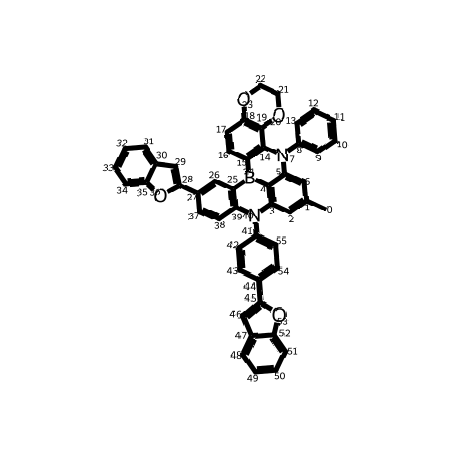 Cc1cc2c3c(c1)N(c1ccccc1)c1c(ccc4c1OCCO4)B3c1cc(-c3cc4ccccc4o3)ccc1N2c1ccc(-c2cc3ccccc3o2)cc1